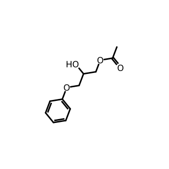 CC(=O)OCC(O)COc1ccccc1